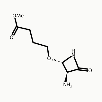 COC(=O)CCCO[C@@H]1NC(=O)[C@H]1N